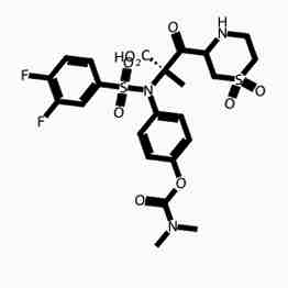 CN(C)C(=O)Oc1ccc(N([C@@](C)(C(=O)O)C(=O)C2CS(=O)(=O)CCN2)S(=O)(=O)c2ccc(F)c(F)c2)cc1